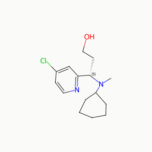 CN(C1CCCCC1)[C@@H](CCO)c1cc(Cl)ccn1